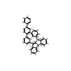 c1ccc(-c2ccc(-c3cccc(-c4c5ccccc5n5c6ccccc6n(-c6ccccc6)c45)c3)cc2)cc1